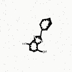 Oc1ccc(O)c2sc(-c3ccccc3)nc12